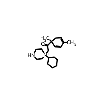 CC1=CCC(C)(C(=O)C[N+]2(C3CCCCC3)CCNCC2)C=C1